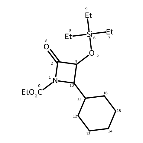 CCOC(=O)N1C(=O)C(O[Si](CC)(CC)CC)C1C1CCCCC1